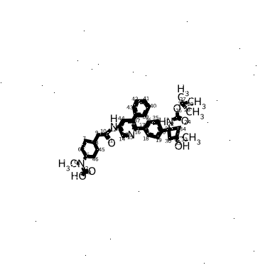 CN(C(=O)O)C1CCC(CC(=O)Nc2cnc(-c3ccc([C@]4(NC(=O)OC(C)(C)C)C[C@](C)(O)C4)cc3)c(-c3ccccc3)c2)CC1